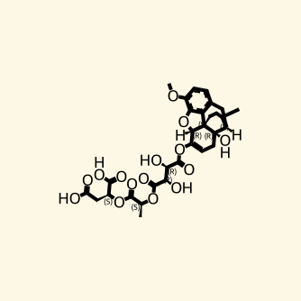 COc1ccc2c3c1O[C@H]1C(OC(=O)[C@H](O)[C@@H](O)C(=O)O[C@@H](C)C(=O)O[C@@H](CC(=O)O)C(=O)O)=CC[C@@]4(O)[C@@H](C2)C(C)CC[C@]314